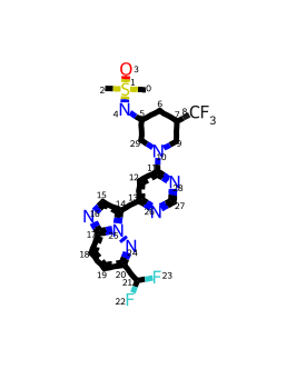 CS(C)(=O)=NC1CC(C(F)(F)F)CN(c2cc(-c3cnc4ccc(C(F)F)nn34)ncn2)C1